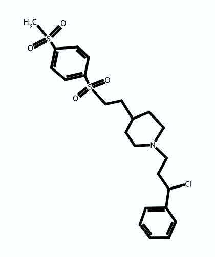 CS(=O)(=O)c1ccc(S(=O)(=O)CCC2CCN(CCC(Cl)c3ccccc3)CC2)cc1